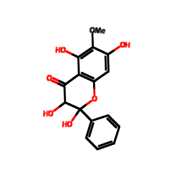 COc1c(O)cc2c(c1O)C(=O)C(O)C(O)(c1ccccc1)O2